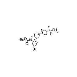 CC(C)(C)OC(=O)N(CC12CCC(c3ccc(C(C)(F)F)cn3)(CC1)CC2)c1cc(Br)ccn1